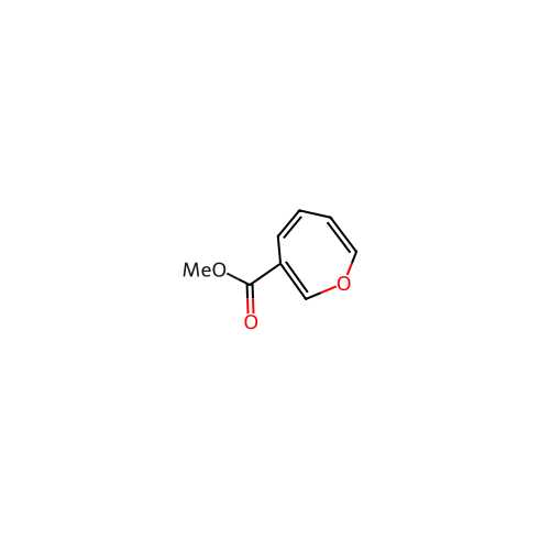 COC(=O)C1=COC=CC=C1